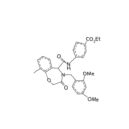 CCOC(=O)c1ccc(NC(=O)C2c3cccc(C)c3OCC(=O)N2Cc2ccc(OC)cc2OC)cc1